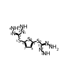 N=NC(=NN)Sc1ccc(SC(N=N)=NN)s1